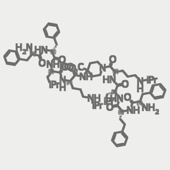 CC(C)C[C@@H](NC(=O)[C@@H](Cc1ccccc1)NC(=O)[C@H](N)Cc1ccccc1)C(=O)N[C@H](CCCNC(C)C)C(=O)NC1(C(=O)O)CCN(C(=O)[C@@H](CCCNC(C)C)NC(=O)[C@@H](CC(C)C)NC(=O)[C@@H](CCc2ccccc2)NC(=O)[C@H](N)Cc2ccccc2)CC1